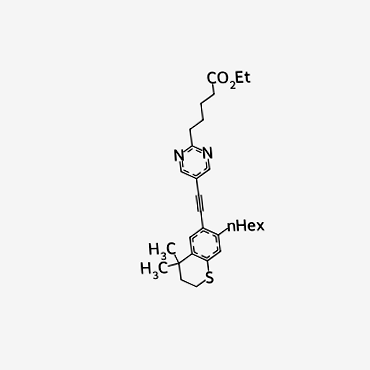 CCCCCCc1cc2c(cc1C#Cc1cnc(CCCCC(=O)OCC)nc1)C(C)(C)CCS2